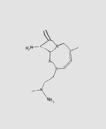 C=C1C(N)C2SN(CCN(C)N)C=C=C(C)CN12